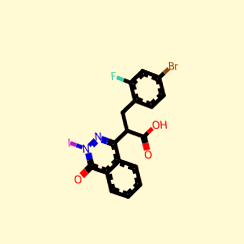 O=C(O)C(Cc1ccc(Br)cc1F)c1nn(I)c(=O)c2ccccc12